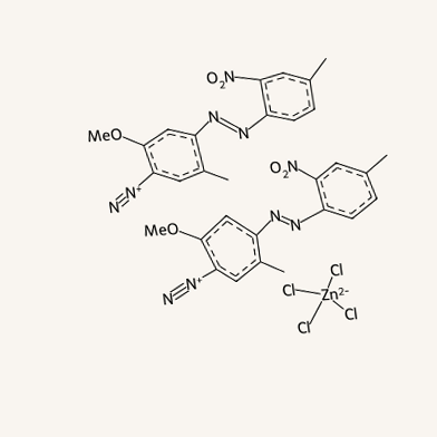 COc1cc(/N=N/c2ccc(C)cc2[N+](=O)[O-])c(C)cc1[N+]#N.COc1cc(/N=N/c2ccc(C)cc2[N+](=O)[O-])c(C)cc1[N+]#N.[Cl][Zn-2]([Cl])([Cl])[Cl]